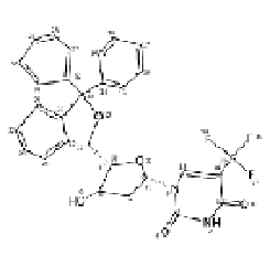 O=c1[nH]c(=O)n([C@@H]2CC(O)[C@H](COC(c3ccccc3)(c3ccccc3)c3ccccc3)O2)cc1C(F)(F)F